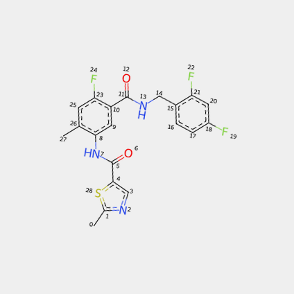 Cc1ncc(C(=O)Nc2cc(C(=O)NCc3ccc(F)cc3F)c(F)cc2C)s1